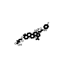 CN/C(=C\C(=O)Nc1ccc(F)cc1)[C@]12CCC(C(C)C)=C1[C@H]1CCC3[C@@]4(C)CC[C@H](OC(=O)CC(C)(C)C(=O)O)C(C)(C)C4CC[C@@]3(C)[C@]1(C)CC2